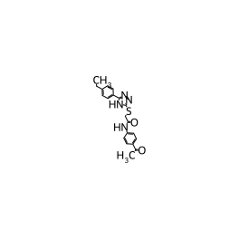 CCc1ccc(-c2nnc(SCC(=O)Nc3ccc(C(C)=O)cc3)[nH]2)cc1